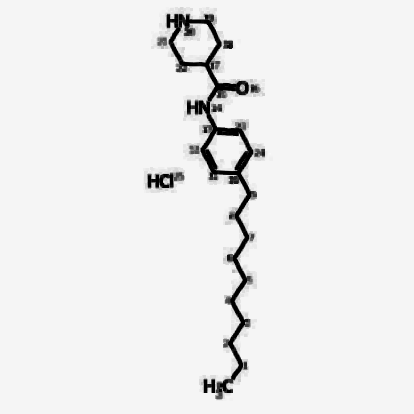 CCCCCCCCCCc1ccc(NC(=O)C2CCNCC2)cc1.Cl